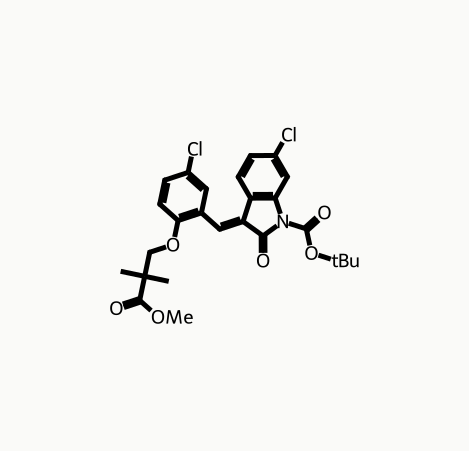 COC(=O)C(C)(C)COc1ccc(Cl)cc1/C=C1/C(=O)N(C(=O)OC(C)(C)C)c2cc(Cl)ccc21